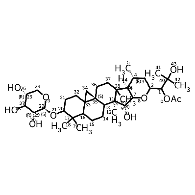 CC(=O)OC(C1C[C@@H](C)[C@H]2C(O1)[C@H](O)[C@@]1(C)C3CCC4C(C)(C)C(O[C@@H]5OC[C@@H](O)C(O)[C@H]5O)CCC45C[C@@]35CCC21C)C(C)(C)O